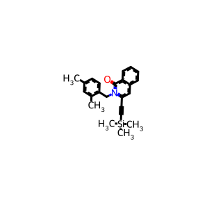 Cc1ccc(Cn2c(C#C[Si](C)(C)C)cc3ccccc3c2=O)c(C)c1